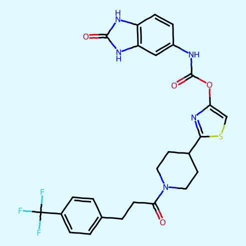 O=C(Nc1ccc2[nH]c(=O)[nH]c2c1)Oc1csc(C2CCN(C(=O)CCc3ccc(C(F)(F)F)cc3)CC2)n1